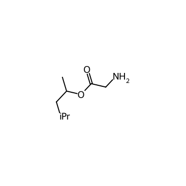 CC(C)CC(C)OC(=O)CN